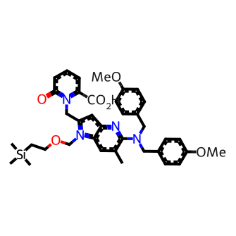 COc1ccc(CN(Cc2ccc(OC)cc2)c2nc3cc(Cn4c(C(=O)O)cccc4=O)n(COCC[Si](C)(C)C)c3cc2C)cc1